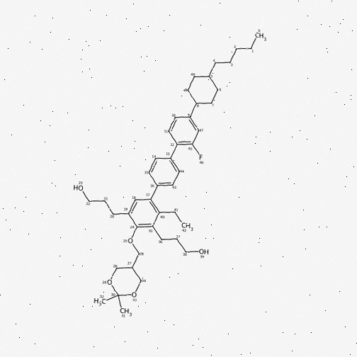 CCCCCC1CCC(c2ccc(-c3ccc(-c4cc(CCCO)c(OCC5COC(C)(C)OC5)c(CCCO)c4CC)cc3)c(F)c2)CC1